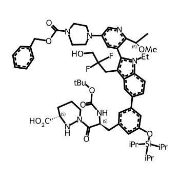 CCn1c(-c2cc(N3CCN(C(=O)OCc4ccccc4)CC3)cnc2[C@H](C)OC)c(CC(F)(F)CO)c2cc(-c3cc(C[C@H](NC(=O)OC(C)(C)C)C(=O)N4CCC[C@@H](C(=O)O)N4)cc(O[Si](C(C)C)(C(C)C)C(C)C)c3)ccc21